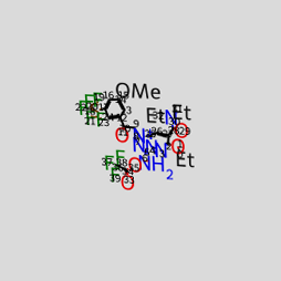 CCOc1nn2c(N)n[n+](CC(=O)c3cc(OC)cc(S(F)(F)(F)(F)F)c3)c2cc1C(=O)N(CC)CC.O=C([O-])C(F)(F)F